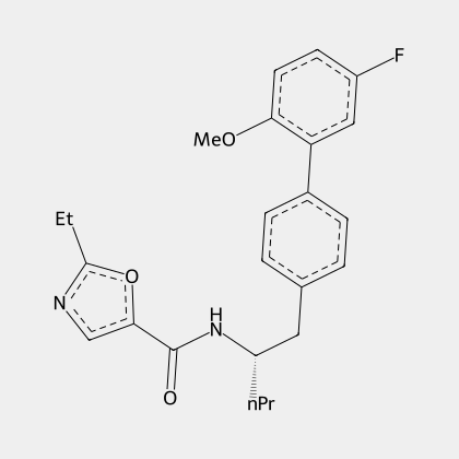 CCC[C@@H](Cc1ccc(-c2cc(F)ccc2OC)cc1)NC(=O)c1cnc(CC)o1